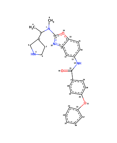 CC(C1CCNC1)N(C)c1nc2cc(NC(=O)c3ccc(Oc4ccccc4)cc3)ccc2o1